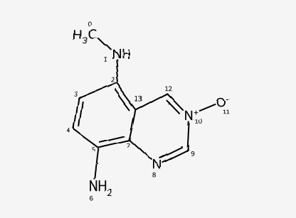 CNc1ccc(N)c2nc[n+]([O-])cc12